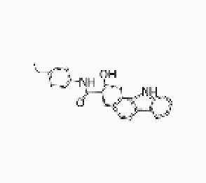 CCc1ccc(NC(=O)c2cc3ccc4c5ccccc5[nH]c4c3cc2O)cc1